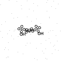 O=C(Oc1ccc(C2(c3ccc(O)cc3)c3ccccc3-c3ccccc32)cc1)c1ccc(C(=O)Oc2ccc(C3(c4ccc(O)cc4)c4ccccc4-c4ccccc43)cc2)o1